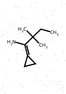 CCC(C)(C)C(N)=C1CC1